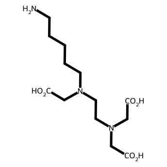 NCCCCCN(CCN(CC(=O)O)CC(=O)O)CC(=O)O